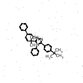 C/C=C(\C=C/C(C)(C)c1nnc(-c2ccc(C(C)(C)C)cc2)n1-c1ccccc1)c1ccccc1